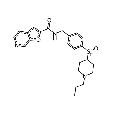 CCCN1CCC([S@+]([O-])c2ccc(CNC(=O)c3cc4ccncc4o3)cc2)CC1